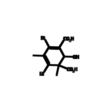 CCC1=C(C(=O)O)C(O)C(C)(C(=O)O)C(CC)=C1C